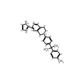 Cc1ccc(C(C)(C)c2ccc(N3CCc4cnc(-c5ncc[nH]5)nc4C3)cc2)cc1